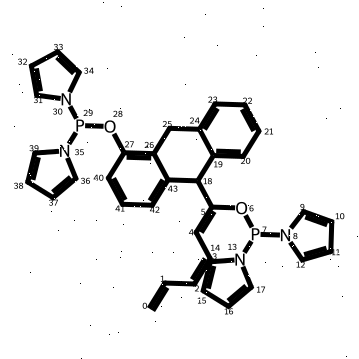 C=C/C=C\C=C(/OP(n1cccc1)n1cccc1)C1c2ccccc2Cc2c(OP(n3cccc3)n3cccc3)cccc21